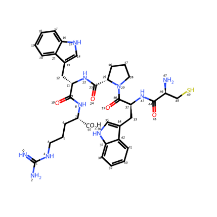 N=C(N)NCCC[C@H](NC(=O)[C@H](Cc1c[nH]c2ccccc12)NC(=O)[C@@H]1CCCN1C(=O)[C@H](Cc1c[nH]c2ccccc12)NC(=O)[C@@H](N)CS)C(=O)O